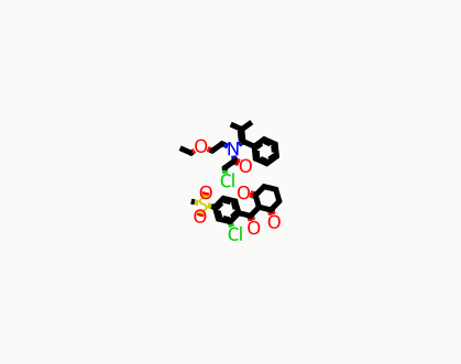 CCOCCN(C(=O)CCl)C(=C(C)C)c1ccccc1.CS(=O)(=O)c1ccc(C(=O)C2C(=O)CCCC2=O)c(Cl)c1